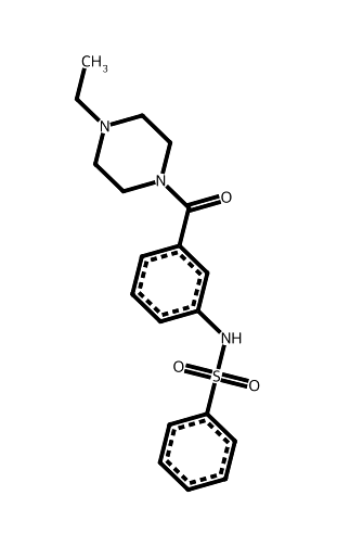 CCN1CCN(C(=O)c2cccc(NS(=O)(=O)c3ccccc3)c2)CC1